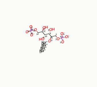 O=C(COP(=O)([O-])[O-])[C@@H](O)[C@H](O)[C@H](O)COP(=O)([O-])[O-].[Na+].[Na+].[Na+].[Na+]